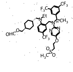 CCN(C[C@H]1CC[C@H](COC=O)CC1)c1ccc(C(F)(F)F)cc1CN(c1ncc(OCCS(C)(=O)=O)cn1)[C@H](C)c1cc(C(F)(F)F)cc(C(F)(F)F)c1